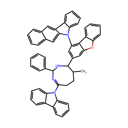 CC1CC/C(n2c3ccccc3c3ccccc32)=N\C(c2ccccc2)NC1c1cc(-n2c3ccccc3c3cc4ccccc4cc32)c2c(c1)oc1ccccc12